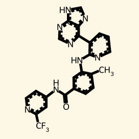 Cc1ccc(C(=O)Nc2ccnc(C(F)(F)F)c2)cc1Nc1ncccc1-c1ncnc2[nH]cnc12